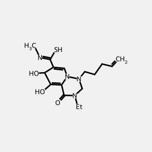 C=CCCCN1CN(CC)C(=O)C2=C(O)C(O)C(/C(S)=N/C)=CN21